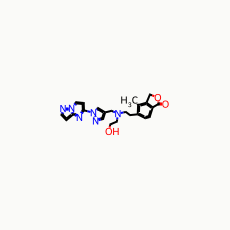 Cc1c(CCN(CCO)Cc2cnn(-c3ccn4nccc4n3)c2)ccc2c1COC2=O